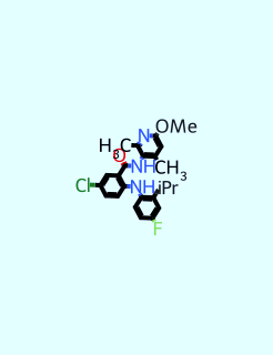 COc1cc(C)c(NC(=O)c2cc(Cl)ccc2Nc2ccc(F)cc2C(C)C)c(C)n1